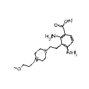 COCCN1CCN(CCc2c(N)ccc(C(=O)O)c2N)CC1